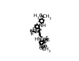 CN(C)C1CCC(Nc2cccc3c2cc(C#CCNc2ccc(S(C)(=O)=O)cc2OC(F)(F)F)n3CC(F)(F)F)CC1